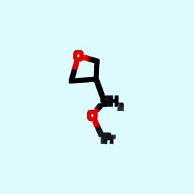 CC(C)O[SiH2]C1COC1